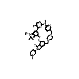 Cc1nc2c(F)cc(-c3nc(Nc4ccc(CN5CCN(Cc6cc(F)c7c(c6)CN(C6CCCNC6)C7=O)CC5)cn4)ncc3F)cc2n1C(C)C